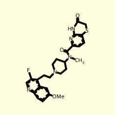 COc1ccc2ncc(F)c(CCN3CCC(N(C)C(=O)c4ccc5c(n4)NC(=O)CS5)CC3)c2c1